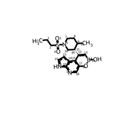 CCCS(=O)(=O)N1CCC(C)[C@H](C2=CB(O)Oc3cnc4[nH]ccc4c32)C1